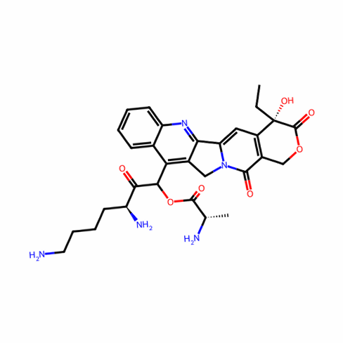 CC[C@@]1(O)C(=O)OCc2c1cc1n(c2=O)Cc2c-1nc1ccccc1c2C(OC(=O)[C@H](C)N)C(=O)[C@@H](N)CCCCN